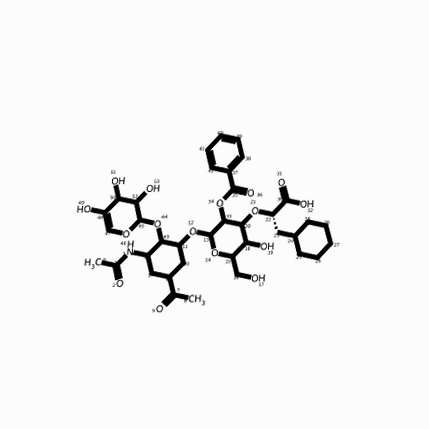 CC(=O)NC1CC(C(C)=O)CC(OC2OC(CO)C(O)C(O[C@@H](CC3CCCCC3)C(=O)O)C2OC(=O)c2ccccc2)C1OC1OC=C(O)C(O)C1O